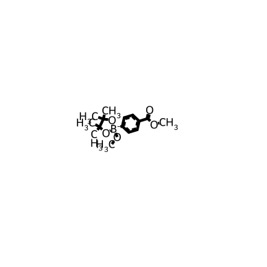 COC(=O)c1ccc([B-]2(OC)OC(C)(C)C(C)(C)O2)cc1